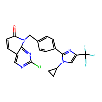 O=c1ccc2cnc(Cl)nc2n1Cc1ccc(-c2nc(C(F)(F)F)cn2C2CC2)cc1